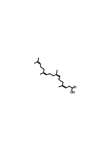 CCC(O)CC=C(C)CCC=C(C)CCC=C(C)CCC=C(C)C